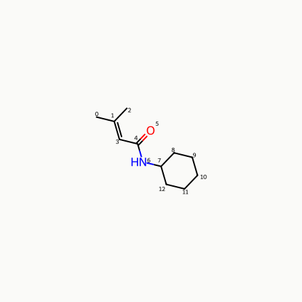 CC(C)=CC(=O)NC1CCCCC1